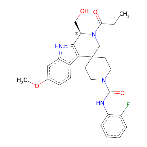 CCC(=O)N1CC2(CCN(C(=O)Nc3ccccc3F)CC2)c2c([nH]c3cc(OC)ccc23)[C@H]1CO